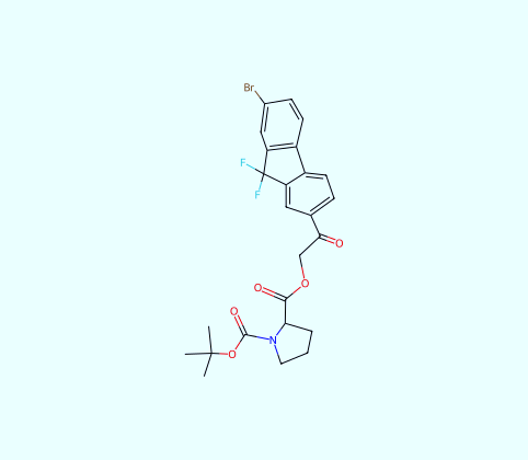 CC(C)(C)OC(=O)N1CCCC1C(=O)OCC(=O)c1ccc2c(c1)C(F)(F)c1cc(Br)ccc1-2